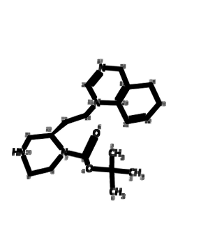 CC(C)(C)OC(=O)N1CCNC[C@H]1CCN1C=NCC2=C1C=CCC2